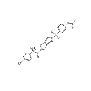 N[C@@H](C(=O)N1Cc2cn(S(=O)(=O)c3ccc(OC(F)F)cc3)nc2C1)c1ccc(Cl)cc1